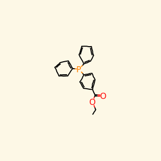 CCOC(=O)c1ccc(P(c2ccccc2)c2ccccc2)cc1